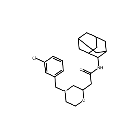 O=C(CC1CN(Cc2cccc(Cl)c2)CCO1)NC1C2CC3CC(C2)CC1C3